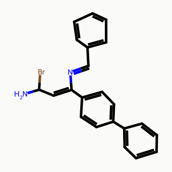 NC(Br)/C=C(\N=C\c1ccccc1)c1ccc(-c2ccccc2)cc1